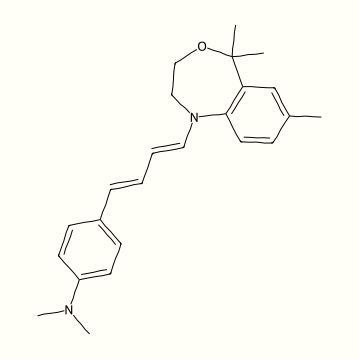 Cc1ccc2c(c1)C(C)(C)OCCN2/C=C/C=Cc1ccc(N(C)C)cc1